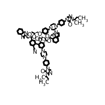 CCC(C)n1ncn(-c2ccc(N3CCN(c4ccc(OC[C@@H]5CO[C@@](Cn6nc7ccccc7n6)(c6ccc(C#N)c(-c7cc(N8CCN(c9ccc(-n%10cnn(C(C)CC)c%10=O)cc9)CC8)ccc7OC[C@@H]7CO[C@@](Cn8cccn8)(c8ccccc8)O7)c6C)O5)cc4)CC3)cc2)c1=O